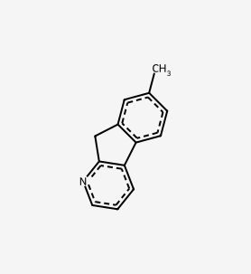 Cc1ccc2c(c1)Cc1ncccc1-2